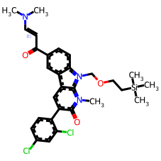 CN(C)/C=C/C(=O)c1ccc2c(c1)c1cc(-c3ccc(Cl)cc3Cl)c(=O)n(C)c1n2COCC[Si](C)(C)C